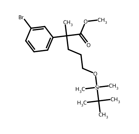 COC(=O)C(C)(CCCO[Si](C)(C)C(C)(C)C)c1cccc(Br)c1